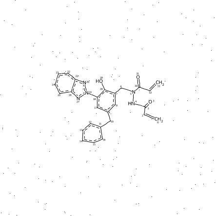 C=CC(=O)NN(Cc1cc(Cc2ccccc2)cc(-n2nc3ccccc3n2)c1O)C(=O)C=C